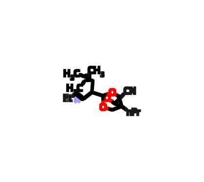 CC/C=C/C(C[Si](C)(C)C)C12OCC(CCC)(CO1)C(C#N)O2